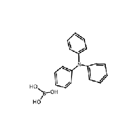 OB(O)O.c1ccc(N(c2ccccc2)c2ccccc2)cc1